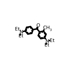 CCN(CC)c1ccc(C(=O)c2ccc(N(CC)CC)cc2C)cc1